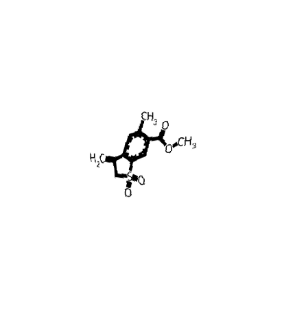 C=C1CS(=O)(=O)c2cc(C(=O)OC)c(C)cc21